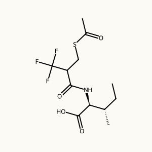 CC[C@H](C)[C@H](NC(=O)C(CSC(C)=O)C(F)(F)F)C(=O)O